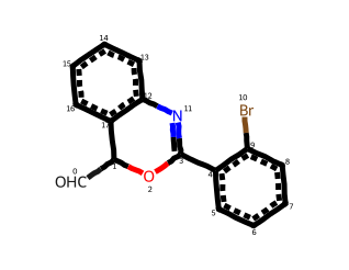 O=CC1OC(c2ccccc2Br)=Nc2ccccc21